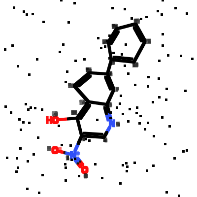 O=[N+]([O-])c1cnc2cc(-c3ccccc3)ccc2c1O